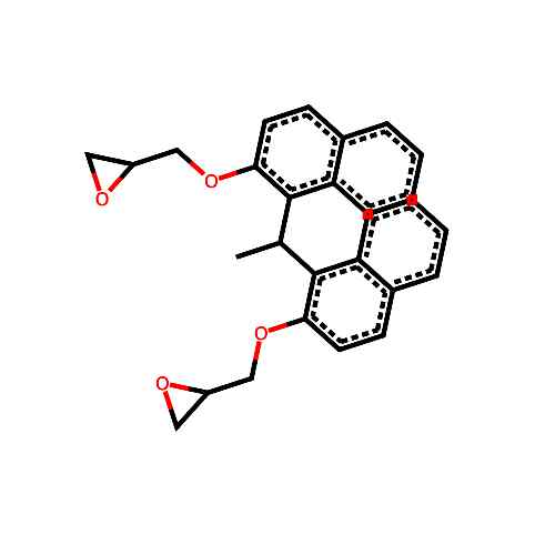 CC(c1c(OCC2CO2)ccc2ccccc12)c1c(OCC2CO2)ccc2ccccc12